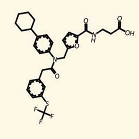 O=C(O)CCNC(=O)c1ccc(CN(C(=O)Cc2cccc(SC(F)(F)F)c2)c2ccc(C3CCCCC3)cc2)o1